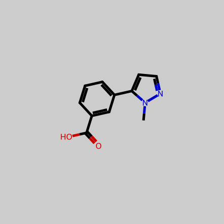 Cn1nccc1-c1cccc(C(=O)O)c1